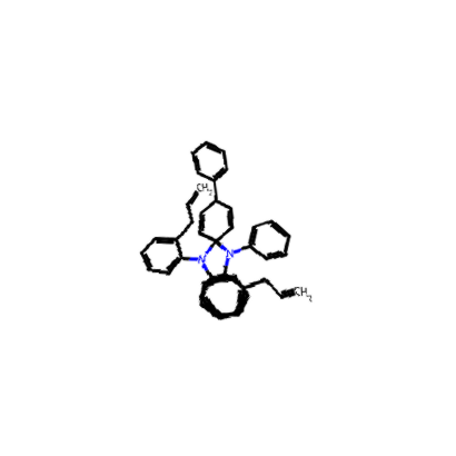 C=CCc1ccccc1N(c1ccccc1)C1(N(c2ccccc2)c2ccccc2CC=C)C=CC(c2ccccc2)C=C1